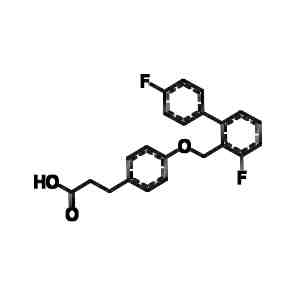 O=C(O)CCc1ccc(OCc2c(F)cccc2-c2ccc(F)cc2)cc1